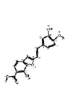 COC(=O)c1ccc2cc(/C=C/c3ccc(OC)c(O)c3)oc2c1O